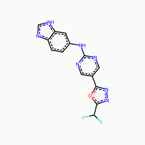 FC(F)c1nnc(-c2cnc(Nc3ccc4nc[nH]c4c3)nc2)o1